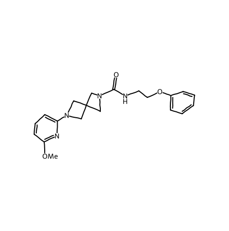 COc1cccc(N2CC3(CN(C(=O)NCCOc4ccccc4)C3)C2)n1